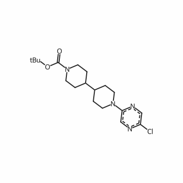 CC(C)(C)OC(=O)N1CCC(C2CCN(c3cnc(Cl)cn3)CC2)CC1